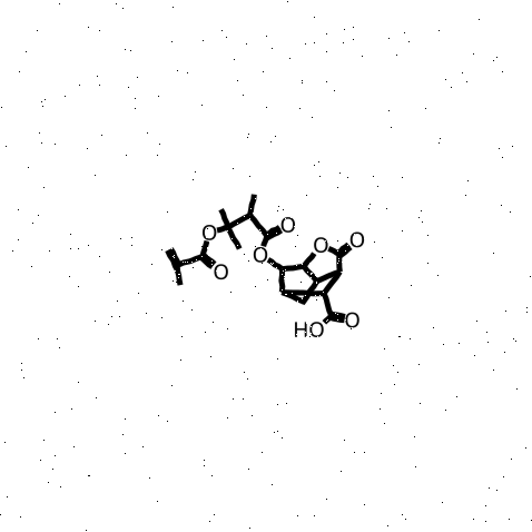 C=C(C)C(=O)OC(C)(C)C(C)C(=O)OC1C2CC3C1OC(=O)C3C2C(=O)O